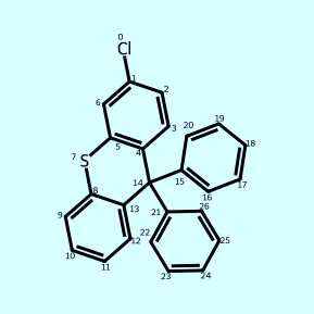 Clc1ccc2c(c1)Sc1ccccc1C2(c1ccccc1)c1ccccc1